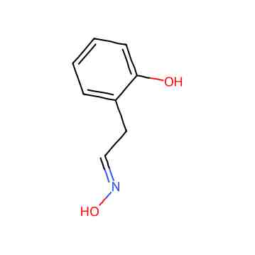 ON=CCc1ccccc1O